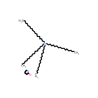 CCCCCCCCCCCCCCCCCC[N+](CCCCCCCCCCCCCCCCCC)(CCCCCCCCCCCCCCCCCC)CCCCCCCCCCCCCCCCCC.[O-]c1ccccn1